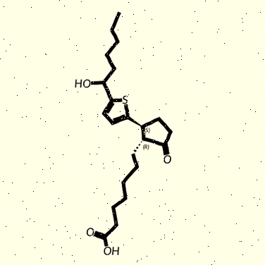 CCCCCC(O)c1ccc([C@H]2CCC(=O)[C@@H]2CCCCCCC(=O)O)s1